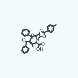 CC(=C(C(=O)c1ccccc1)C(=O)c1ccccc1)C(C(=O)O)N1C(=O)C2N=C(c3ccc(C)cc3)OC21